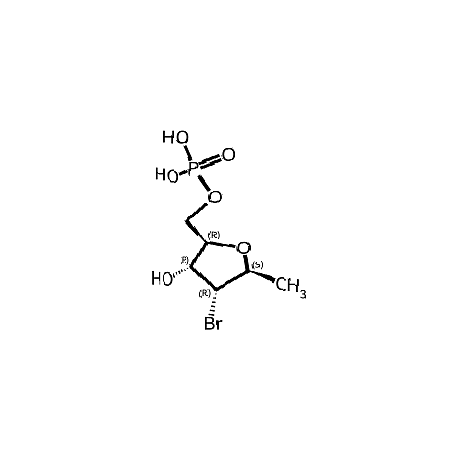 C[C@@H]1O[C@H](COP(=O)(O)O)[C@@H](O)[C@H]1Br